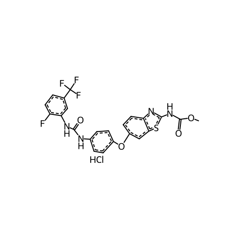 COC(=O)Nc1nc2ccc(Oc3ccc(NC(=O)Nc4cc(C(F)(F)F)ccc4F)cc3)cc2s1.Cl